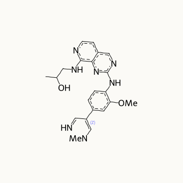 CN/C=C(\C=N)c1ccc(Nc2ncc3ccnc(NCC(C)O)c3n2)c(OC)c1